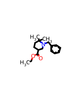 CCOC(=O)C1CCC(C)(C)N(Cc2ccccc2)C1